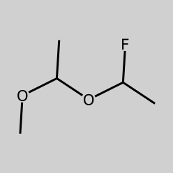 COC(C)OC(C)F